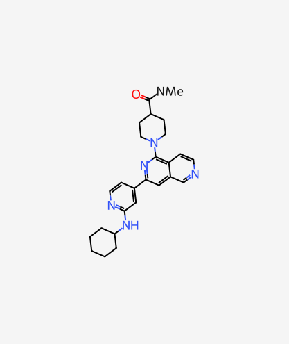 CNC(=O)C1CCN(c2nc(-c3ccnc(NC4CCCCC4)c3)cc3cnccc23)CC1